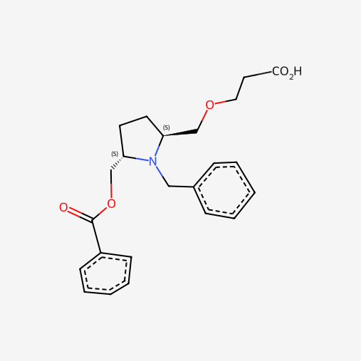 O=C(O)CCOC[C@@H]1CC[C@@H](COC(=O)c2ccccc2)N1Cc1ccccc1